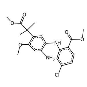 COC(=O)c1ccc(Cl)cc1Nc1cc(C(C)(C)C(=O)OC)c(OC)cc1N